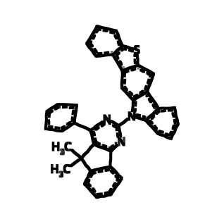 CC1(C)c2ccccc2-c2nc(-n3c4ccccc4c4cc5sc6ccccc6c5cc43)nc(-c3ccccc3)c21